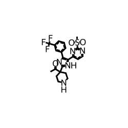 CC(=O)C1(c2nc(-c3cccc(C(F)(F)F)c3)c(-c3ccnc(S(C)(=O)=O)n3)[nH]2)CCNCC1